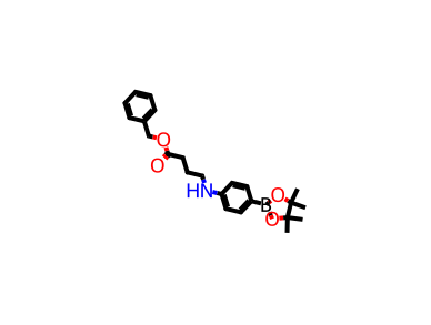 CC1(C)OB(c2ccc(NCCCC(=O)OCc3ccccc3)cc2)OC1(C)C